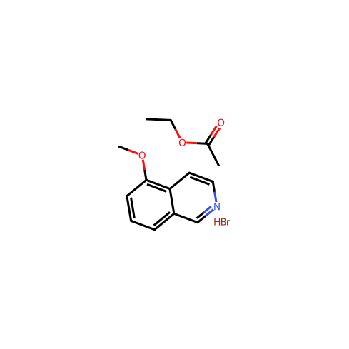 Br.CCOC(C)=O.COc1cccc2cnccc12